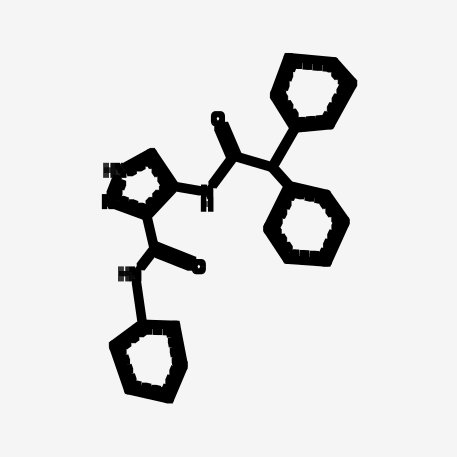 O=C(Nc1ccccc1)c1n[nH]cc1NC(=O)C(c1ccccc1)c1ccccc1